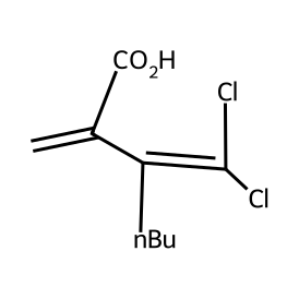 C=C(C(=O)O)C(CCCC)=C(Cl)Cl